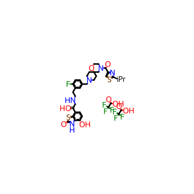 CC(C)c1nc(C(=O)N2CCOC3(CCN(Cc4ccc(F)c(CCNC[C@H](O)c5ccc(O)c6[nH]c(=O)sc56)c4)CC3)C2)cs1.O=C(O)C(F)(F)F.O=C(O)C(F)(F)F